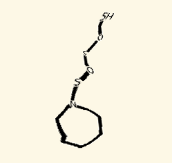 SOSOSN1CCCCC1